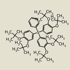 CC(C)(C)Oc1ccc(S(c2ccccc2)(c2ccc(OC(C)(C)C)c(OC(C)(C)C)c2)c2ccc(OC(C)(C)C)c(OC(C)(C)C)c2)cc1OC(C)(C)C